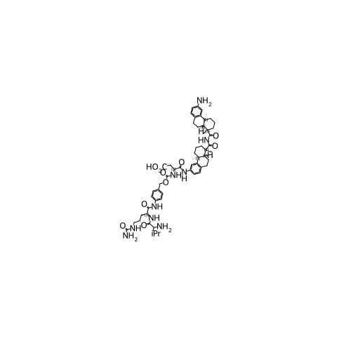 CC(C)C(N)C(=O)N[C@@H](CCCNC(N)=O)C(=O)Nc1ccc(COC(=O)N[C@@H](CC(=O)O)C(=O)Nc2ccc3c(c2)[C@@]2(C)CCC[C@](C)(C(=O)NC(=O)[C@@]4(C)CCC[C@]5(C)c6cc(N)ccc6CC[C@@H]45)[C@@H]2CC3)cc1